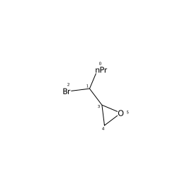 CCCC(Br)C1CO1